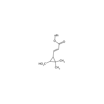 CCCOC(=O)C=CC1C(C(=O)O)C1(C)C